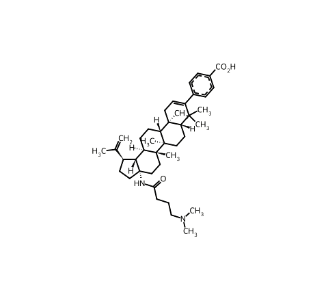 C=C(C)[C@@H]1CC[C@]2(NC(=O)CCCN(C)C)CC[C@]3(C)[C@H](CC[C@@H]4[C@@]5(C)CC=C(c6ccc(C(=O)O)cc6)C(C)(C)[C@@H]5CC[C@]43C)[C@@H]12